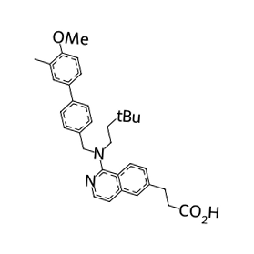 COc1ccc(-c2ccc(CN(CCC(C)(C)C)c3nccc4cc(CCC(=O)O)ccc34)cc2)cc1C